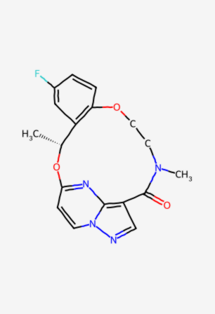 C[C@H]1Oc2ccn3ncc(c3n2)C(=O)N(C)CCOc2ccc(F)cc21